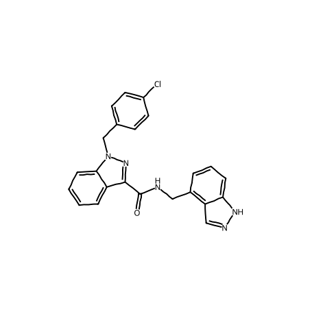 O=C(NCc1cccc2[nH]ncc12)c1nn(Cc2ccc(Cl)cc2)c2ccccc12